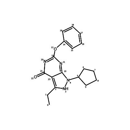 CCc1[nH]n(C2CCCC2)c2nc(Oc3ccccc3)nc(=O)c1-2